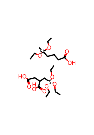 CCO[Si](C)(CCCC(=O)O)OCC.CCO[Si](CC(CC(=O)O)C(=O)O)(OCC)OCC